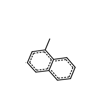 Cc1c[c]cc2ccccc12